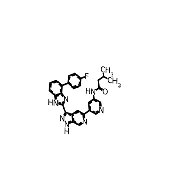 CC(C)CC(=O)Nc1cncc(-c2cc3c(-c4nc5c(-c6ccc(F)cc6)cccc5[nH]4)n[nH]c3cn2)c1